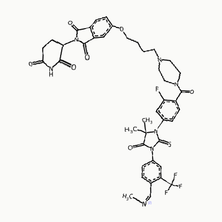 C/N=C\c1ccc(N2C(=O)C(C)(C)N(c3ccc(C(=O)N4CCN(CCCCOc5ccc6c(c5)C(=O)N(C5CCC(=O)NC5=O)C6=O)CC4)c(F)c3)C2=S)cc1C(F)(F)F